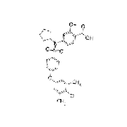 Cc1cc(Oc2ccc(S(=O)(=O)N(c3ccc(C(=O)O)c(O)c3)C3CCCC3)cc2)cc(C)c1Cl